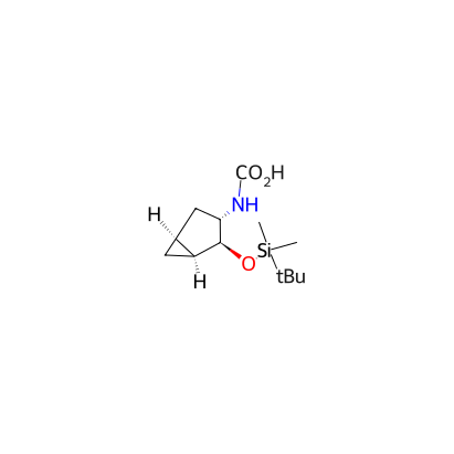 CC(C)(C)[Si](C)(C)O[C@H]1[C@H]2C[C@H]2C[C@@H]1NC(=O)O